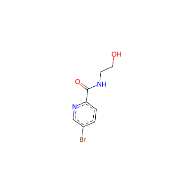 O=C(NCCO)c1ccc(Br)cn1